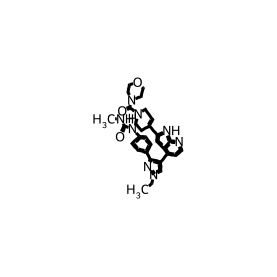 CCn1cc(-c2ccnc3[nH]c(C4=CCN(C(=O)N5CCOCC5)CC4)cc23)c(-c2ccc(NC(=O)NC)cc2)n1